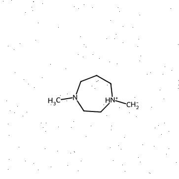 [CH2-][NH+]1CCCN(C)CC1